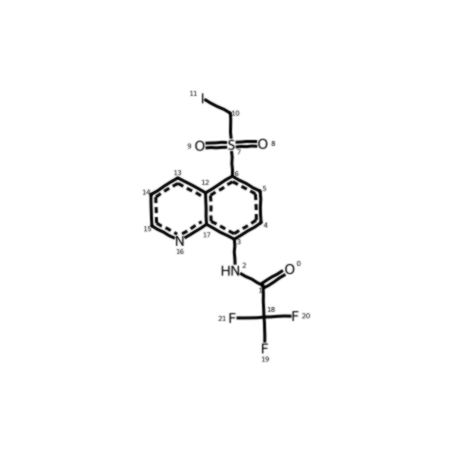 O=C(Nc1ccc(S(=O)(=O)CI)c2cccnc12)C(F)(F)F